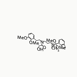 COc1cccc(CCN(CCCN(C)C(OC)(OC)c2cccc3c2CC3)C(=O)CO)c1OC